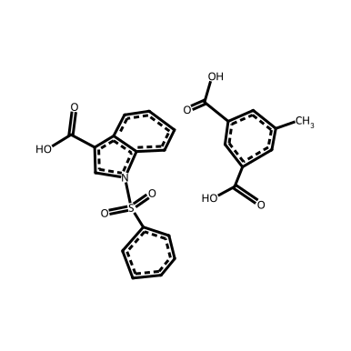 Cc1cc(C(=O)O)cc(C(=O)O)c1.O=C(O)c1cn(S(=O)(=O)c2ccccc2)c2ccccc12